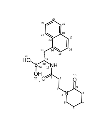 O=C(CCN1CCCCC1=O)N[C@@H](Cc1cccc2ccccc12)B(O)O